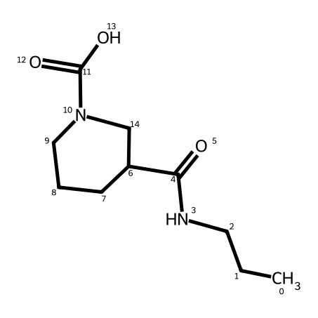 CCCNC(=O)C1CCCN(C(=O)O)C1